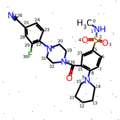 CNS(=O)(=O)c1ccc(N2CCCCC2)c(C(=O)N2CCN(c3ccc(C#N)cc3F)CC2)c1